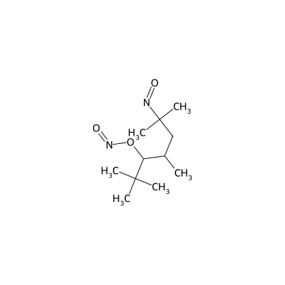 CC(CC(C)(C)N=O)C(ON=O)C(C)(C)C